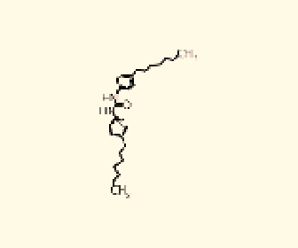 CCCCCCCc1ccc(NC(=O)Nc2ccc(CCCCCCC)cc2)cc1